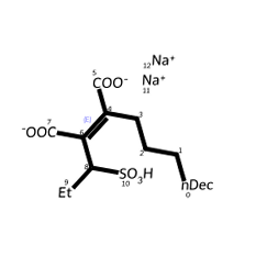 CCCCCCCCCCCCC/C(C(=O)[O-])=C(/C(=O)[O-])C(CC)S(=O)(=O)O.[Na+].[Na+]